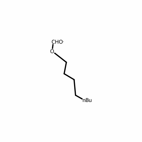 [CH2]CCCCCCCO[C]=O